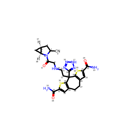 N#CC1C[C@@H]2C[C@@H]2N1C(=O)CNCCC1(c2nn[nH]n2)c2sc(C(N)=O)cc2CCc2cc(C(N)=O)sc21